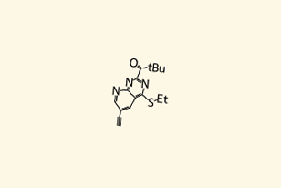 C#Cc1cnc2nc(C(=O)C(C)(C)C)nc(SCC)c2c1